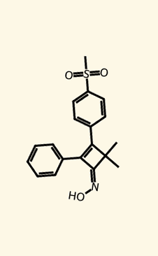 CC1(C)C(=NO)C(c2ccccc2)=C1c1ccc(S(C)(=O)=O)cc1